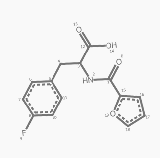 O=C(NC(Cc1ccc(F)cc1)C(=O)O)c1ccco1